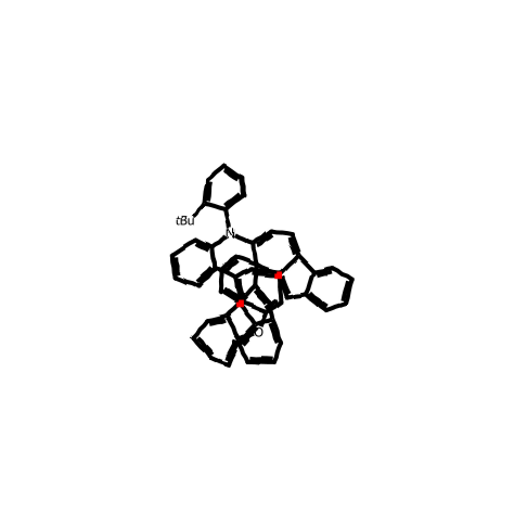 CC(C)(C)c1ccccc1N(C1=CC=C2C(=Cc3ccccc32)C12C=CC=C1C2=Cc2ccccc21)c1ccccc1-c1cccc2oc3ccccc3c12